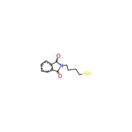 O=C1c2ccccc2C(=O)N1CCCCS